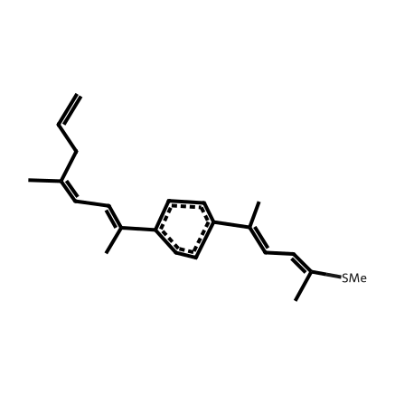 C=CC/C(C)=C\C=C(/C)c1ccc(/C(C)=C/C=C(\C)SC)cc1